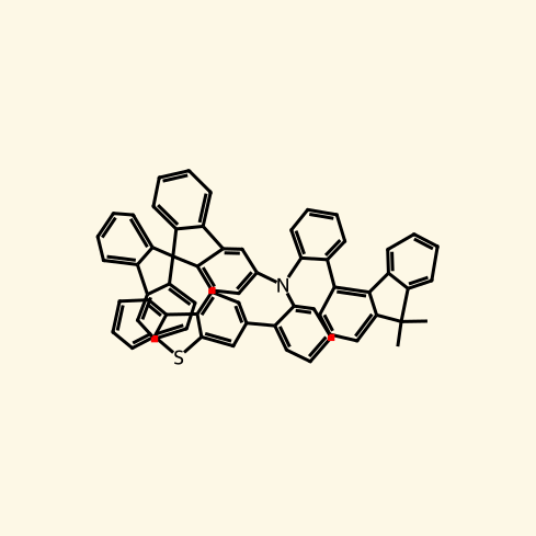 CC1(C)c2ccccc2-c2c(-c3ccccc3N(c3ccc4c(c3)-c3ccccc3C43c4ccccc4-c4ccccc43)c3ccccc3-c3ccc4c(c3)sc3ccccc34)cccc21